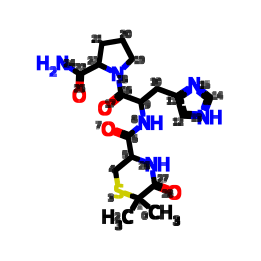 CC1(C)SCC(C(=O)NC(Cc2c[nH]cn2)C(=O)N2CCCC2C(N)=O)NC1=O